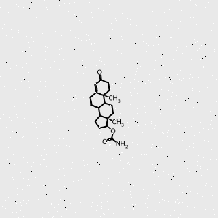 C[C@]12CCC(=O)C=C1CCC1C2CC[C@@]2(C)C1CC[C@@H]2OC(N)=O